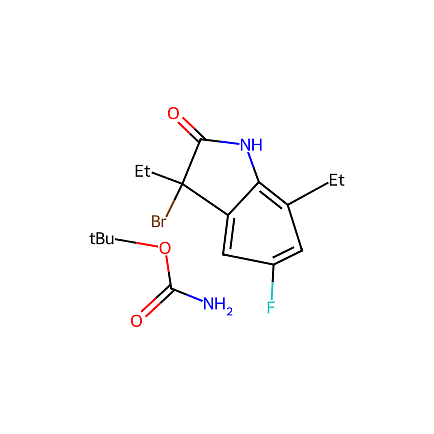 CC(C)(C)OC(N)=O.CCc1cc(F)cc2c1NC(=O)C2(Br)CC